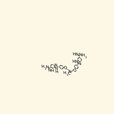 CN(CCOc1ccc(-c2nc3ccc(C(=N)N)cc3[nH]2)cc1)CCOc1ccc(-c2nc3ccc(C(=N)N)cc3[nH]2)cc1